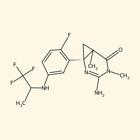 CC(Nc1ccc(F)c([C@]23CC2(C)C(=O)N(C)C(N)=N3)c1)C(F)(F)F